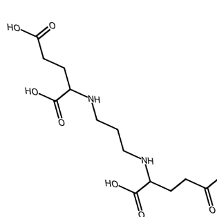 O=C(O)CCC(NCCCNC(CCC(=O)O)C(=O)O)C(=O)O